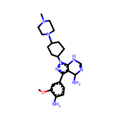 COc1cc(-c2nn(C3CCC(N4CCN(C)CC4)CC3)c3c2C(N)N=CN3)ccc1N